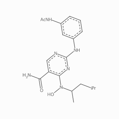 CC(=O)Nc1cccc(Nc2ncc(C(N)=O)c(N(O)C(C)CC(C)C)n2)c1